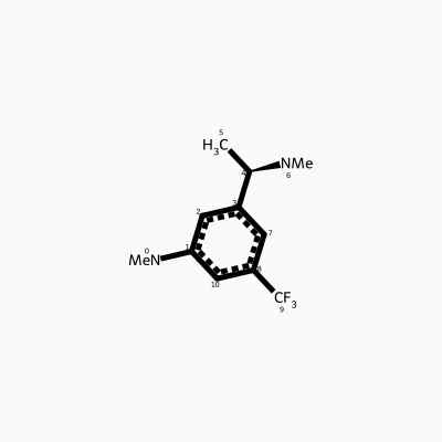 CNc1cc([C@@H](C)NC)cc(C(F)(F)F)c1